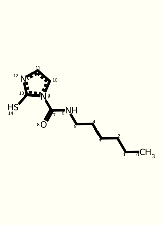 CCCCCCNC(=O)n1ccnc1S